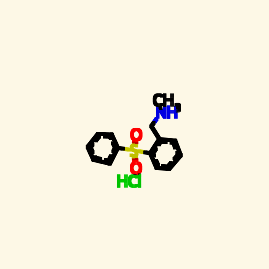 CNCc1ccccc1S(=O)(=O)c1ccccc1.Cl